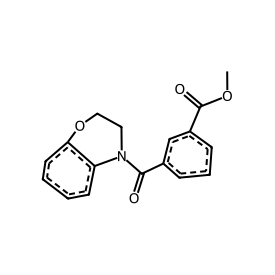 COC(=O)c1cccc(C(=O)N2CCOc3ccccc32)c1